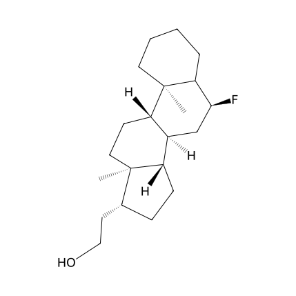 C[C@]12CC[C@H]3[C@@H](C[C@H](F)C4CCCC[C@@]43C)[C@@H]1CC[C@@H]2CCO